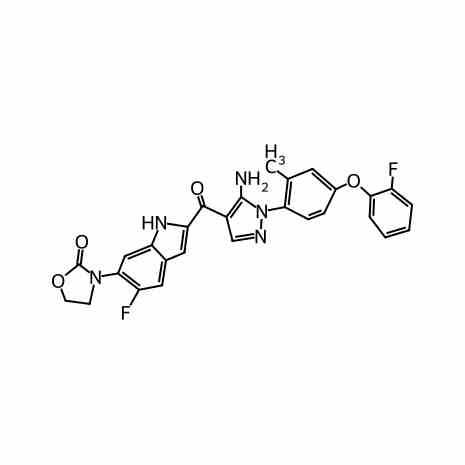 Cc1cc(Oc2ccccc2F)ccc1-n1ncc(C(=O)c2cc3cc(F)c(N4CCOC4=O)cc3[nH]2)c1N